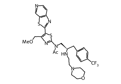 COCc1nc(N(C[C@@H](Cc2ccc(C(F)(F)F)cc2)NCCN2CCOCC2)C(C)=O)sc1-c1nc2ccncc2s1